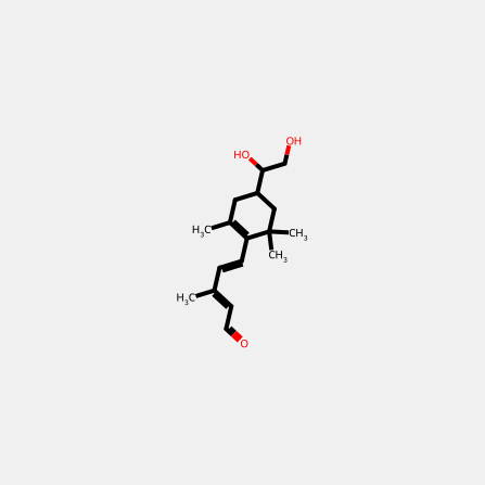 CC(C=CC1=C(C)CC(C(O)CO)CC1(C)C)=CC=O